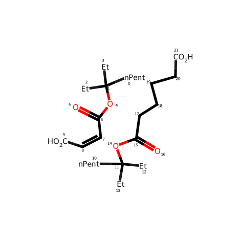 CCCCCC(CC)(CC)OC(=O)/C=C\C(=O)O.CCCCCC(CC)(CC)OC(=O)CCCCC(=O)O